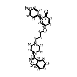 O=c1ccc(OCCCN2CCN(c3nsc4ccccc34)CC2)nn1-c1ccc(F)cc1